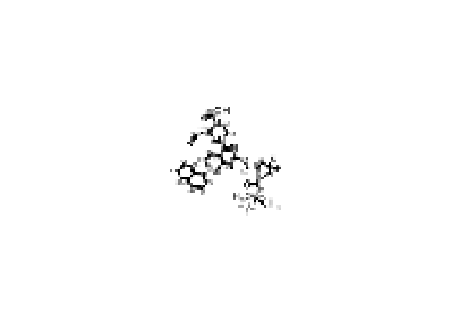 CC(C)(C)OC(=O)N1CC(F)(F)C[C@H]1COc1nc2c(c(N3CCN(C(=O)O)[C@@H](CC#N)C3)n1)CCN(c1cccc3ccccc13)C2